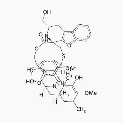 COC1=C(O)C2(C)C3[C@@H]4[C@@H]5SC[C@]6(N[C@H](CO)Cc7c6oc6ccccc76)C(=O)OC[C@@H](c6c7c(c(C)c(OC(C)=O)c65)OCO7)N4[C@@H](O)[C@H](C[C@@H]2C=C1C)N3C